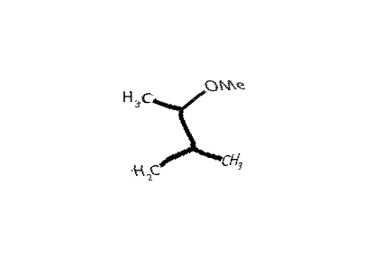 [CH2]C(C)C(C)OC